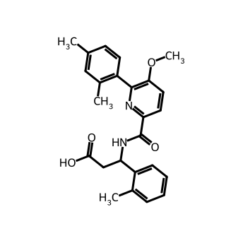 COc1ccc(C(=O)NC(CC(=O)O)c2ccccc2C)nc1-c1ccc(C)cc1C